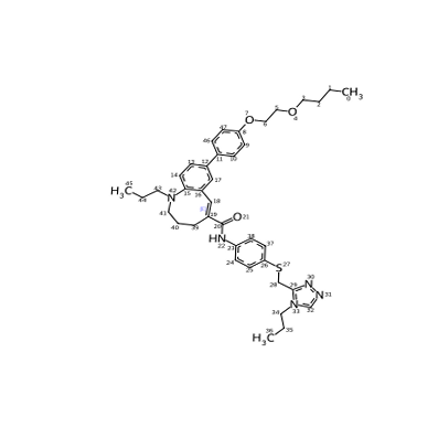 CCCCOCCOc1ccc(-c2ccc3c(c2)/C=C(/C(=O)Nc2ccc(SCc4nncn4CCC)cc2)CCCN3CCC)cc1